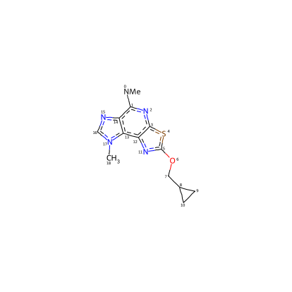 CNc1nc2sc(OCC3CC3)nc2c2c1ncn2C